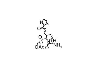 CC(=O)OCOC(=O)C1=C(CSC(=O)c2nccs2)CS[C@@H]2C(N)C(=O)N12